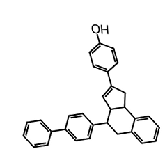 Oc1ccc(C2=CC3C(c4ccc(-c5ccccc5)cc4)Cc4ccccc4C3C2)cc1